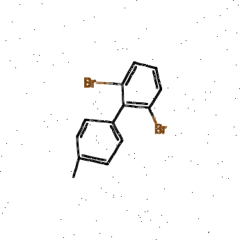 Cc1ccc(-c2c(Br)cccc2Br)cc1